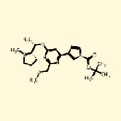 COCc1nc(O[C@@H](C)[C@@H]2CCCN2C)cc(-c2ccn(C(=O)OC(C)(C)C)c2)n1